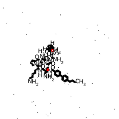 CCCCc1ccc(-c2ccc(C(=O)NCCC(=O)N[C@@H](CCCCCN)C(=O)N3CCC[C@H]3C(=O)N[C@@H](N)C(=O)N[C@@H](CCCCN)C(=O)N[C@@H](N)B3OC4C[C@@H]5C[C@@H](C5(C)C)[C@]4(C)O3)cc2)cc1